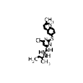 C=CC(C)NNNc1cc(Cl)nc(Sc2ccc3nc(C)ccc3c2)n1